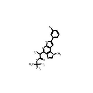 CN(C(=O)OC(C)(C)C)c1nc2[nH]c(-c3cccc(Br)c3)cc2c2c1ncn2C